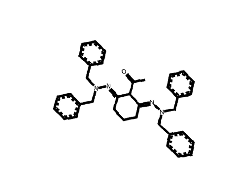 CC(=O)C1C(=NN(Cc2ccccc2)Cc2ccccc2)CCCC1=NN(Cc1ccccc1)Cc1ccccc1